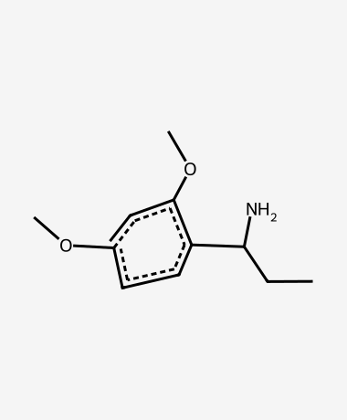 CCC(N)c1ccc(OC)cc1OC